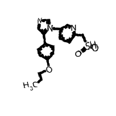 CCCOc1ccc(-c2cncn2-c2ccc(C[SH](=O)=O)nc2)cc1